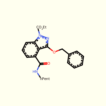 CCCCCNC(=O)c1cccc2c1c(OCc1ccccc1)nn2C(=O)OCC